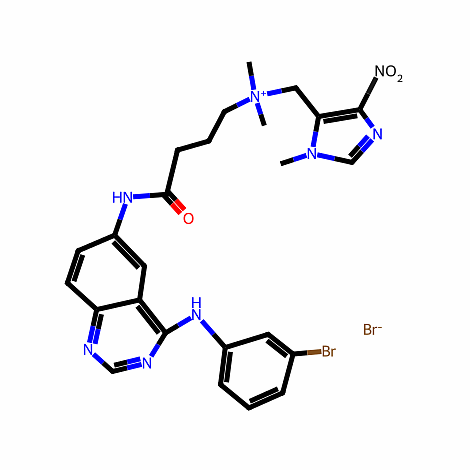 Cn1cnc([N+](=O)[O-])c1C[N+](C)(C)CCCC(=O)Nc1ccc2ncnc(Nc3cccc(Br)c3)c2c1.[Br-]